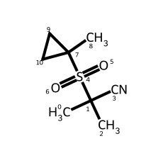 CC(C)(C#N)S(=O)(=O)C1(C)CC1